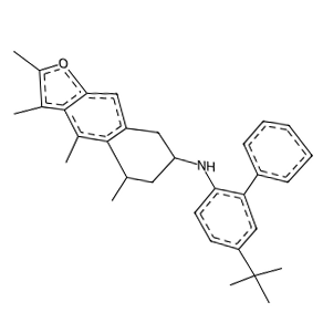 Cc1oc2cc3c(c(C)c2c1C)C(C)CC(Nc1ccc(C(C)(C)C)cc1-c1ccccc1)C3